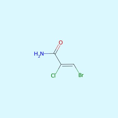 NC(=O)C(Cl)=CBr